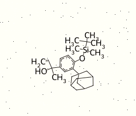 C=CC(C)(O)c1ccc(O[Si](C)(C)C(C)(C)C)c(C23CC4CC(CC(C4)C2)C3)c1